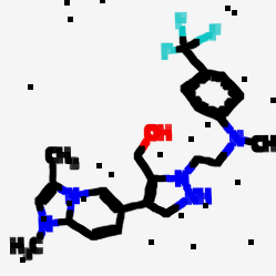 CC1=CN(C)C2C=CC(C3=C(CO)N(CCN(C)c4ccc(C(F)(F)F)cc4)NC3)=CN12